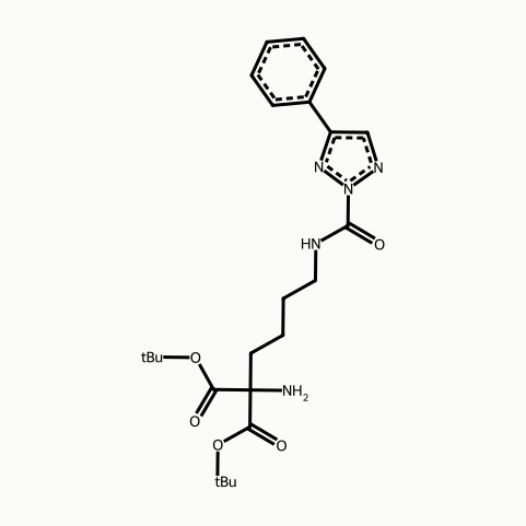 CC(C)(C)OC(=O)C(N)(CCCCNC(=O)n1ncc(-c2ccccc2)n1)C(=O)OC(C)(C)C